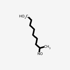 CC(CCCCCCC(=O)O)N=O